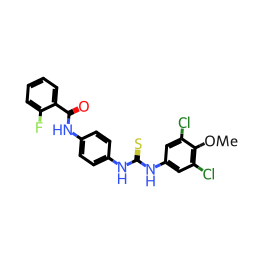 COc1c(Cl)cc(NC(=S)Nc2ccc(NC(=O)c3ccccc3F)cc2)cc1Cl